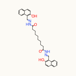 O=C(CCCCCCCCC(=O)N/N=C/c1c(O)ccc2ccccc12)N/N=C/c1c(O)ccc2ccccc12